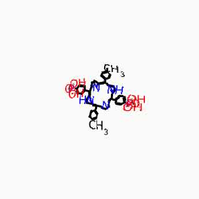 Cc1ccc(-c2c3nc(c(-c4ccc(P(=O)(O)O)cc4)c4ccc([nH]4)c(-c4ccc(C)cc4)c4nc(c(-c5ccc(P(=O)(O)O)cc5)c5ccc2[nH]5)CC4)C=C3)cc1